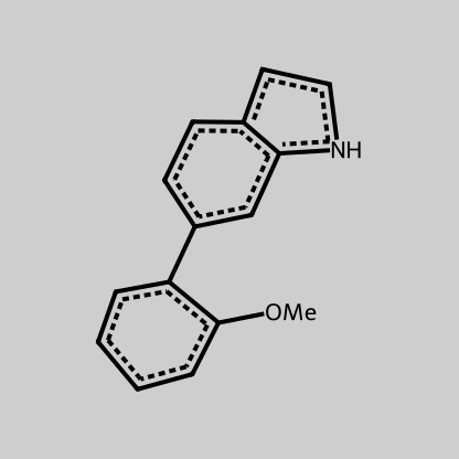 COc1ccccc1-c1ccc2cc[nH]c2c1